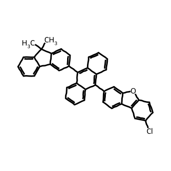 CC1(C)c2ccccc2-c2cc(-c3c4ccccc4c(-c4ccc5c(c4)oc4ccc(Cl)cc45)c4ccccc34)ccc21